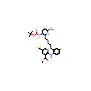 COC(=O)c1cc(C(F)(F)F)cnc1Nc1ccc(F)cc1CCCCCc1nc(OC)ccc1NC(=O)OC(C)(C)C